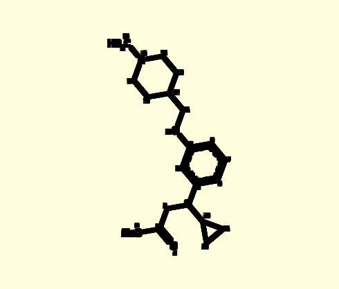 COC(=O)CC(c1cccc(OCC2CCN(C(=O)O)CC2)c1)C1CC1